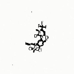 C=CCN(c1cc(-n2c(=O)cc(C(F)(F)F)n(C)c2=O)c(F)cc1Cl)S(C)(=O)=O